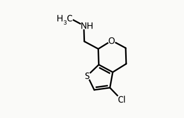 CNCC1OCCc2c(Cl)csc21